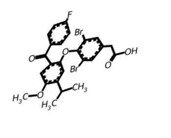 COc1cc(C(=O)c2ccc(F)cc2)c(Oc2c(Br)cc(CC(=O)O)cc2Br)cc1C(C)C